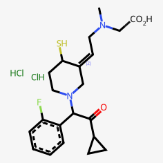 CN(C/C=C1/CN(C(C(=O)C2CC2)c2ccccc2F)CCC1S)CC(=O)O.Cl.Cl